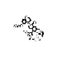 COc1ccc2c(c1)[C@@H](N1CCc3c(cc(Cn4ccnc4C)cc3-c3cn(C)nc3C(F)(F)F)C1=O)CCO2